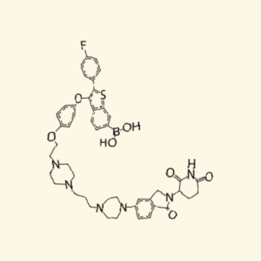 O=C1CCC(N2Cc3cc(N4CCN(CCCN5CCN(CCOc6ccc(Oc7c(-c8ccc(F)cc8)sc8cc(B(O)O)ccc78)cc6)CC5)CC4)ccc3C2=O)C(=O)N1